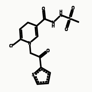 CS(=O)(=O)NNC(=O)C1=CN(CC(=O)c2cccs2)C(Cl)=CC1